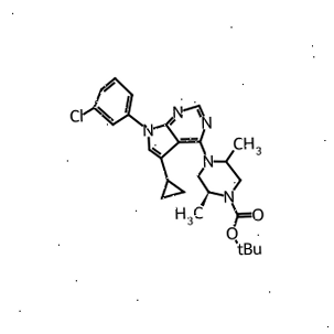 CC1CN(C(=O)OC(C)(C)C)[C@@H](C)CN1c1ncnc2c1c(C1CC1)cn2-c1cccc(Cl)c1